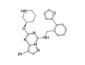 CC(C)c1cnn2c(NCc3ccccc3-c3ccco3)nc(O[C@@H]3CCCNC3)nc12